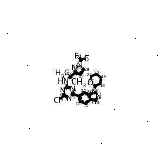 CC(C)(Nc1nc(Cl)nc(-c2ccc3cnn(C4CCCCO4)c3c2)n1)c1ccn(C(F)F)n1